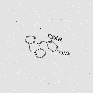 COc1ccc(C=C2c3ccccc3CCc3ccccc32)c(OC)c1